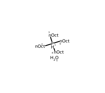 CCCCCCCC[PH](CCCCCCCC)(CCCCCCCC)CCCCCCCC.O